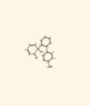 CCCc1ccc(-c2ccccc2C2(F)C=CC=CC2F)cc1